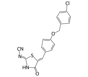 N#CN=C1NC(=O)C(=Cc2ccc(OCc3ccc(Cl)cc3)cc2)S1